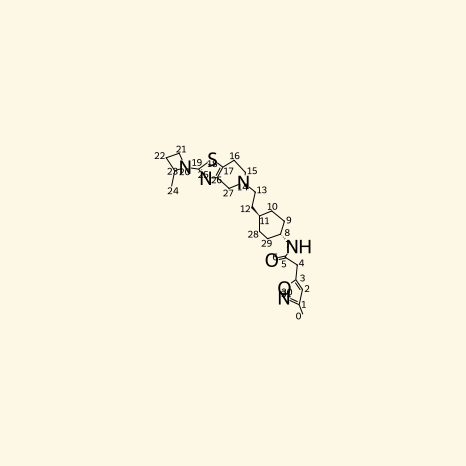 Cc1cc(CC(=O)N[C@H]2CC[C@H](CCN3CCc4sc(N5CCC5C)nc4C3)CC2)on1